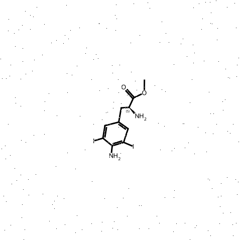 COC(=O)[C@@H](N)Cc1cc(I)c(N)c(I)c1